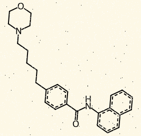 O=C(Nc1cccc2ccccc12)c1ccc(CCCCCN2CCOCC2)cc1